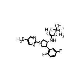 Bc1cnc(N2C[C@H](NC(=O)OC(C)(C)C)[C@@H](c3cc(F)ccc3F)C2)nc1